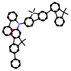 CC1(C)c2cc(-c3ccccc3)ccc2-c2ccc(N(c3ccc4c(c3)[Si](C)(C)c3cc(-c5cccc6c5-c5ccccc5C6(C)C)ccc3-4)c3ccccc3-c3ccccc3)cc21